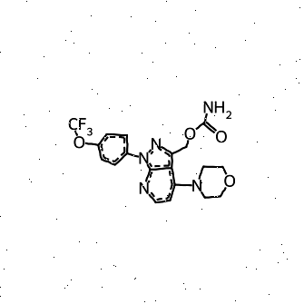 NC(=O)OCc1nn(-c2ccc(OC(F)(F)F)cc2)c2nccc(N3CCOCC3)c12